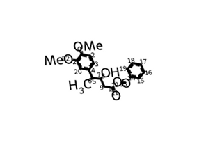 COc1ccc(C(C)C(O)CC(=O)OOc2ccccc2)cc1OC